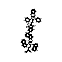 N#CC(C#N)=C/C=C1/N(c2cccc3ccccc23)c2nc3ccc4c(-c5ccc6c(c5)S(=O)(=O)/C(=C/C=C5N(C7CCCCC7)c7nc8ccccc8nc7N5C5CCCCC5)C6=O)cccc4c3nc2N1c1cccc2ccccc12